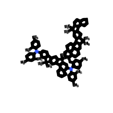 Cc1ccc(N(c2ccc3c(c2)C(C)(C)c2cc4c(cc2-3)C(C)(C)c2cc(N(c3ccc(C)cc3C)c3ccc(C)cc3Cc3ccc5ccc6c7c(cc8ccc3c5c86)C(C)(C)c3cc5c(cc3-7)C(C)(C)c3ccc6ccccc6c3-5)c3ccccc3c2-4)c2ccc(C)cc2C)c(C)c1